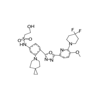 COc1ccc(-c2nnc(-c3ccc(NS(=O)(=O)CCO)cc3N3CCC4(CC3)CC4)o2)nc1N1CCC(F)(F)CC1